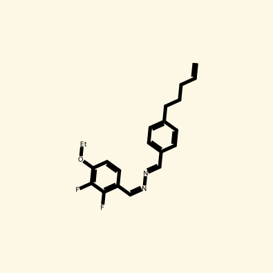 C=CCCCc1ccc(/C=N/N=C\c2ccc(OCC)c(F)c2F)cc1